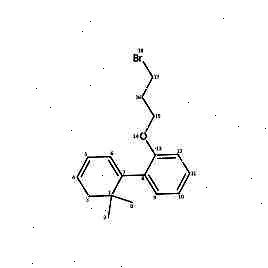 CC1(C)CC=CC=C1c1ccccc1OCCCBr